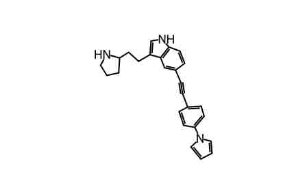 C(#Cc1ccc2[nH]cc(CCC3CCCN3)c2c1)c1ccc(-n2cccc2)cc1